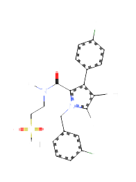 Cc1c(-c2ccc(Cl)cc2)c(C(=O)N(C)CCS(C)(=O)=O)n(Cc2cccc(Cl)c2)c1C(F)(F)F